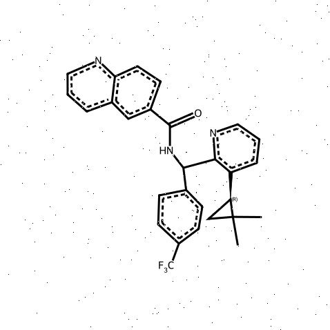 CC1(C)C[C@H]1c1cccnc1C(NC(=O)c1ccc2ncccc2c1)c1ccc(C(F)(F)F)cc1